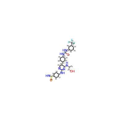 CC(CO)Nc1nc(Nc2ccc([SH](=N)=O)cc2)ncc1-c1ccc(NC(=O)Nc2cccc(C(F)(F)F)c2)cc1